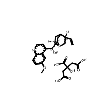 C=C[C@@H]1CN2CCC1C[C@@H]2[C@H](O)c1ccnc2ccc(OC)cc12.O=C(O)CC(O)(CC(=O)O)C(=O)O